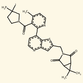 Cc1ccnc(-c2ccnc3cc(CN4C(=O)C5C(C4=O)C5(C)C)sc23)c1C(=O)N1CCC(P)(I)C1